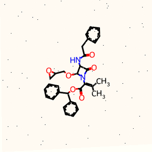 CC(C)=C(C(=O)OC(c1ccccc1)c1ccccc1)N1C(=O)C(NC(=O)Cc2ccccc2)C1OCC1CO1